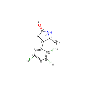 CC1NC(=O)CC1c1cc(F)cc(F)c1F